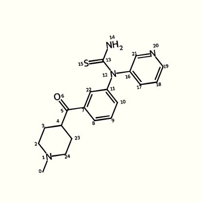 CN1CCC(C(=O)c2cccc(N(C(N)=S)c3cccnc3)c2)CC1